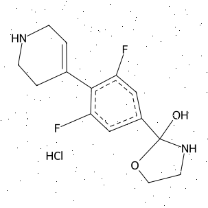 Cl.OC1(c2cc(F)c(C3=CCNCC3)c(F)c2)NCCO1